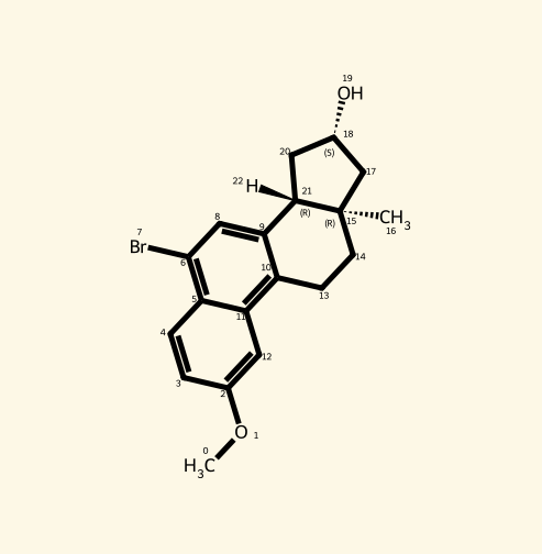 COc1ccc2c(Br)cc3c(c2c1)CC[C@]1(C)C[C@@H](O)C[C@@H]31